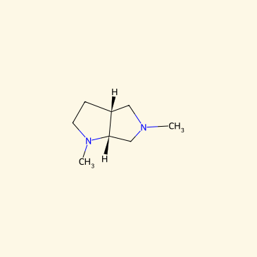 CN1C[C@H]2CCN(C)[C@H]2C1